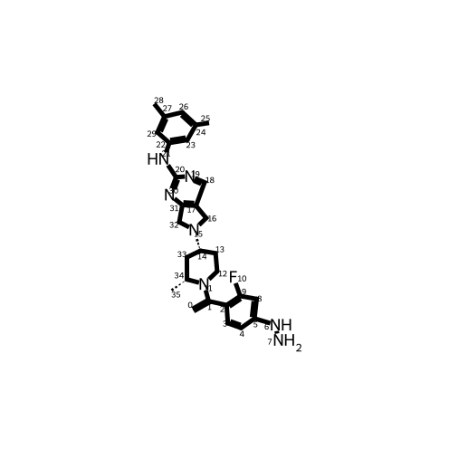 C=C(c1ccc(NN)cc1F)N1CC[C@@H](N2Cc3cnc(Nc4cc(C)cc(C)c4)nc3C2)C[C@H]1C